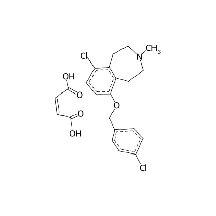 CN1CCc2c(Cl)ccc(OCc3ccc(Cl)cc3)c2CC1.O=C(O)/C=C\C(=O)O